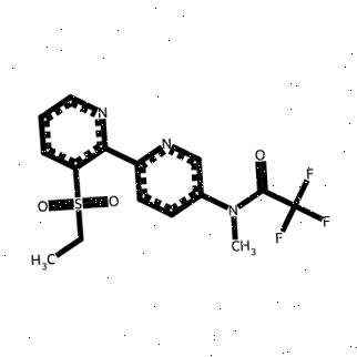 CCS(=O)(=O)c1cccnc1-c1ccc(N(C)C(=O)C(F)(F)F)cn1